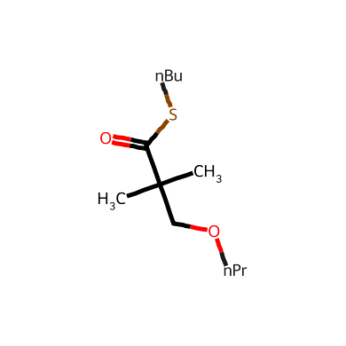 CCCCSC(=O)C(C)(C)COCCC